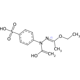 C=C(O)N(/N=C(\C)OCC)c1ccc(S(=O)(=O)O)cc1